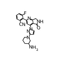 N#Cc1cccc(F)c1-c1cc(-n2ccc(N3CCCC(N)C3)n2)c2c(n1)CNC2=O